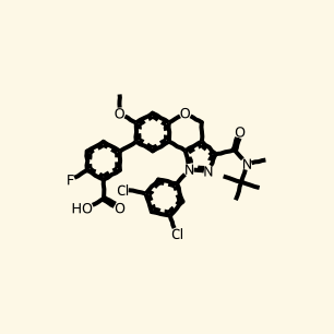 COc1cc2c(cc1-c1ccc(F)c(C(=O)O)c1)-c1c(c(C(=O)N(C)C(C)(C)C)nn1-c1cc(Cl)cc(Cl)c1)CO2